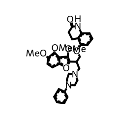 COc1ccc2oc(C(COc3cccc4c3CCC(=O)N4)CN3CCN(c4ccccc4)CC3)c(OC)c2c1OC